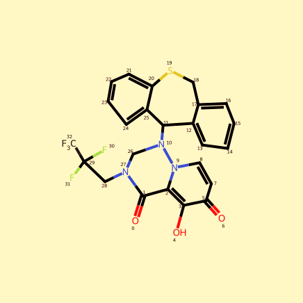 O=C1c2c(O)c(=O)ccn2N(C2c3ccccc3CSc3ccccc32)CN1CC(F)(F)C(F)(F)F